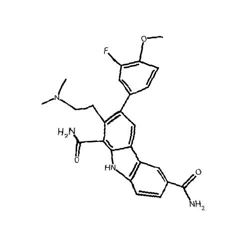 COc1ccc(-c2cc3c([nH]c4ccc(C(N)=O)cc43)c(C(N)=O)c2CCN(C)C)cc1F